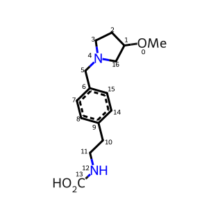 COC1CCN(Cc2ccc(CCNC(=O)O)cc2)C1